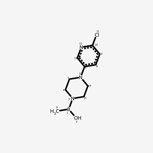 CB(O)N1CCN(c2ccc(Cl)nc2)CC1